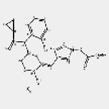 COC(=O)Cn1nnc(/C=C2\CN(C(C(=O)C3CC3)c3ccccc3F)CCC2S)n1.Cl